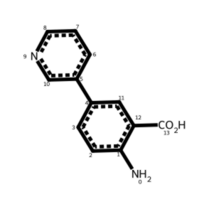 Nc1ccc(-c2cccnc2)cc1C(=O)O